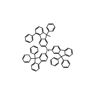 CC1(c2ccccc2)c2cc(N(c3ccc4c(c3)C(c3ccccc3)(c3ccccc3)c3ccccc3-4)c3ccc4c(c3)C(c3ccccc3)(C3C=CC=CC3)c3ccccc3-4)ccc2-c2c(-c3ccccc3)cccc21